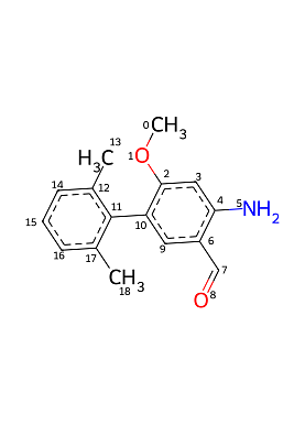 COc1cc(N)c(C=O)cc1-c1c(C)cccc1C